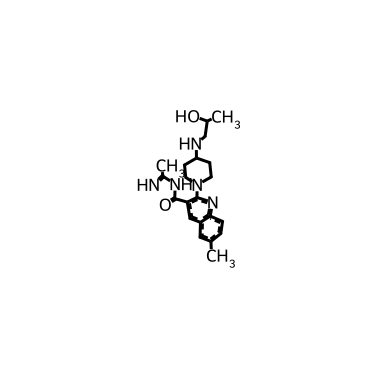 CC(=N)NC(=O)c1cc2cc(C)ccc2nc1N1CCC(NCC(C)O)CC1